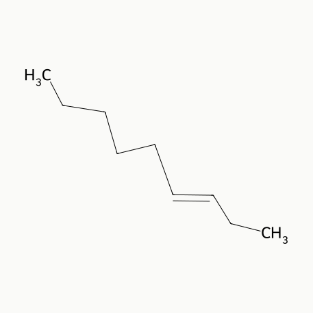 CCC=CCCCCC